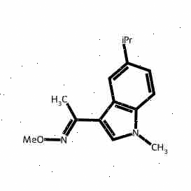 CO/N=C(\C)c1cn(C)c2ccc(C(C)C)cc12